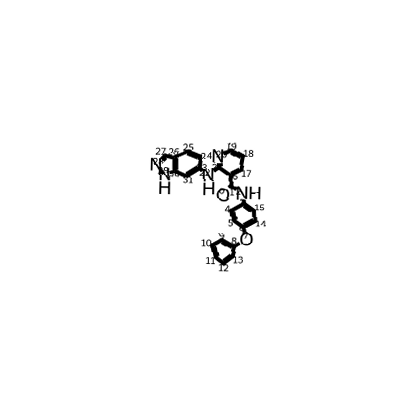 O=C(Nc1ccc(Oc2ccccc2)cc1)c1cccnc1Nc1ccc2cn[nH]c2c1